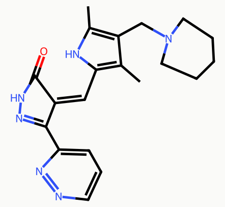 Cc1[nH]c(C=C2C(=O)NN=C2c2cccnn2)c(C)c1CN1CCCCC1